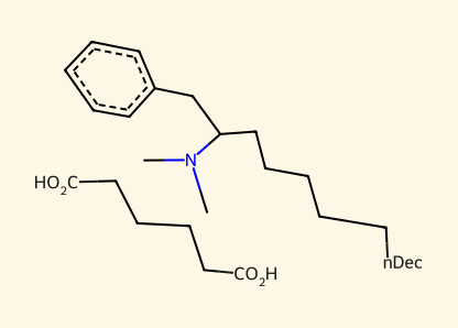 CCCCCCCCCCCCCCCC(Cc1ccccc1)N(C)C.O=C(O)CCCCC(=O)O